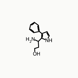 NC(CCO)c1[nH]ccc1-c1ccccc1